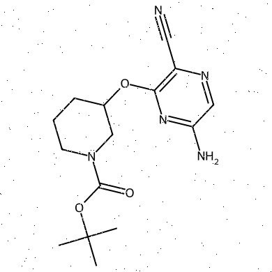 CC(C)(C)OC(=O)N1CCCC(Oc2nc(N)cnc2C#N)C1